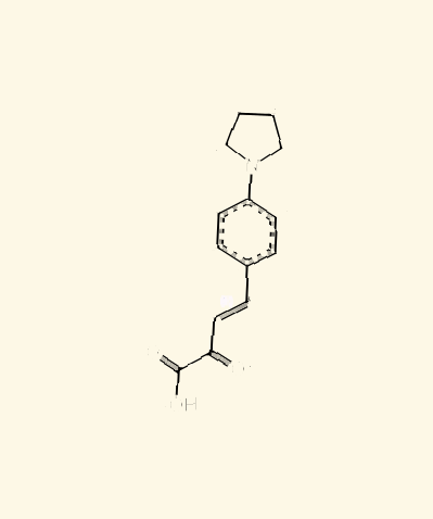 O=C(O)C(=O)/C=C/c1ccc(N2CCCC2)cc1